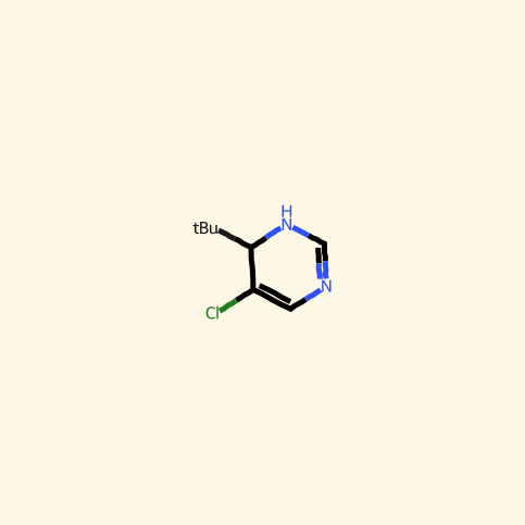 CC(C)(C)C1NC=NC=C1Cl